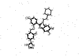 Fc1cc2nc(-c3ccc(Cl)cc3OCc3ccc(-c4nnn[nH]4)cc3F)n(CCC3CCCCC3)c2cc1F